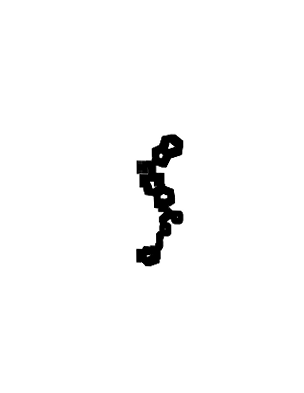 O=C(COCCn1ccnc1)N1CCc2nc(NC3Cc4ccccc4C3)ncc2C1